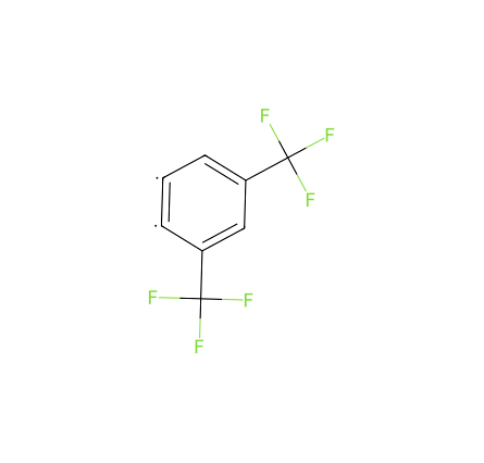 FC(F)(F)c1[c][c]cc(C(F)(F)F)c1